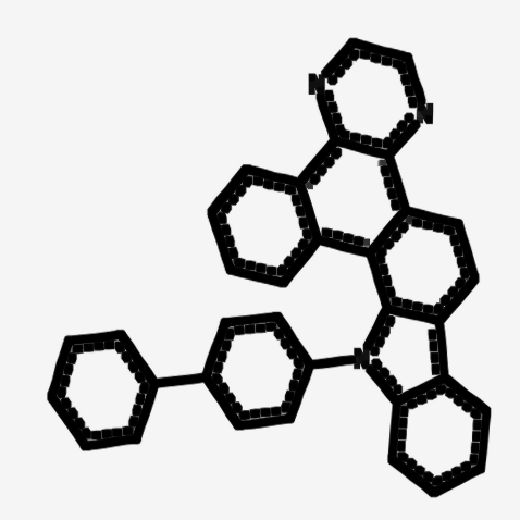 c1ccc(-c2ccc(-n3c4ccccc4c4ccc5c6nccnc6c6ccccc6c5c43)cc2)cc1